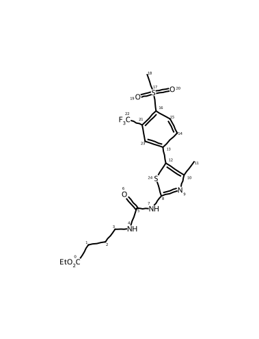 CCOC(=O)CCCNC(=O)Nc1nc(C)c(-c2ccc(S(C)(=O)=O)c(C(F)(F)F)c2)s1